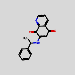 CC(NC1=CC(=O)c2cccnc2C1=O)c1ccccc1